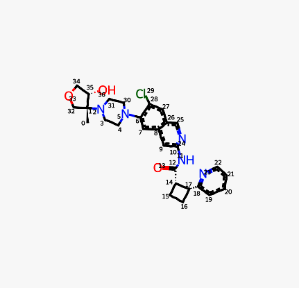 C[C@@]1(N2CCN(c3cc4cc(NC(=O)[C@H]5CC[C@H]5c5ccccn5)ncc4cc3Cl)CC2)COC[C@@H]1O